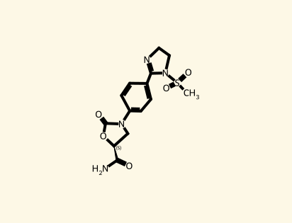 CS(=O)(=O)N1CCN=C1c1ccc(N2C[C@@H](C(N)=O)OC2=O)cc1